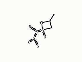 CC1CS(=S)(=S(=S)=S(=S)=S)O1